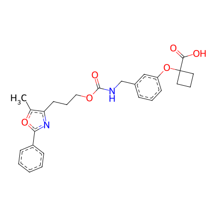 Cc1oc(-c2ccccc2)nc1CCCOC(=O)NCc1cccc(OC2(C(=O)O)CCC2)c1